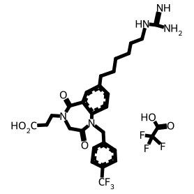 N=C(N)NCCCCCCc1ccc2c(c1)C(=O)N(CCC(=O)O)CC(=O)N2Cc1ccc(C(F)(F)F)cc1.O=C(O)C(F)(F)F